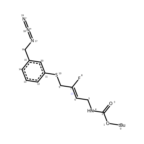 CC(C)(C)OC(=O)NC/C=C(\F)CSc1cccc(CN=[N+]=[N-])c1